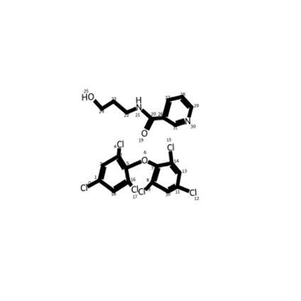 Clc1cc(Cl)c(Oc2c(Cl)cc(Cl)cc2Cl)c(Cl)c1.O=C(NCCCO)c1cccnc1